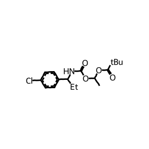 [CH2]CC(NC(=O)OC(C)OC(=O)C(C)(C)C)c1ccc(Cl)cc1